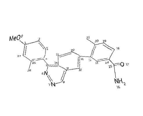 COc1ccc(-c2nncc3cc(-c4cc(C(N)=O)ccc4C)ccc23)c(C)c1